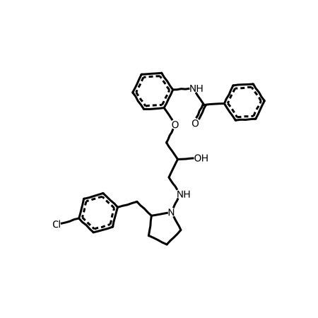 O=C(Nc1ccccc1OCC(O)CNN1CCCC1Cc1ccc(Cl)cc1)c1ccccc1